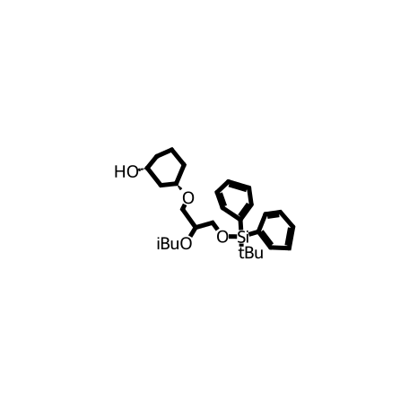 CC(C)COC(CO[C@H]1CCC[C@@H](O)C1)CO[Si](c1ccccc1)(c1ccccc1)C(C)(C)C